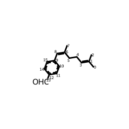 CC(C)=CCCC(C)=Cc1ccc(C=O)cc1